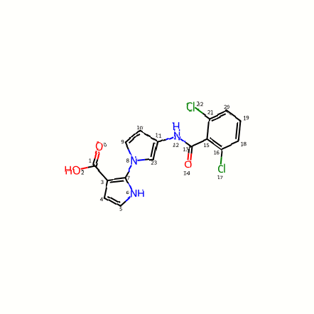 O=C(O)c1cc[nH]c1-n1ccc(NC(=O)c2c(Cl)cccc2Cl)c1